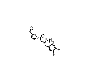 N[C@@H](CC(=O)n1ccc(C=O)c1)Cc1cc(F)c(F)cc1F